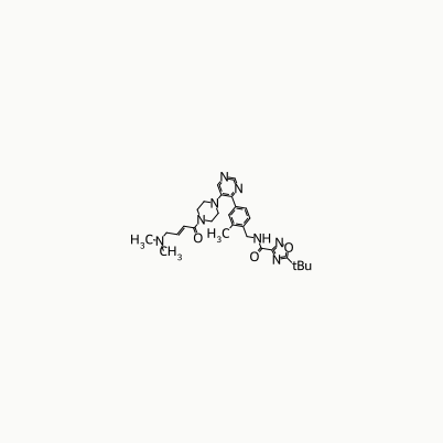 Cc1cc(-c2ncncc2N2CCN(C(=O)C=CCN(C)C)CC2)ccc1CNC(=O)c1noc(C(C)(C)C)n1